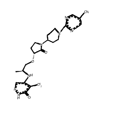 C[C@@H](CO[C@@H]1CCN(C2CCN(c3ncc(C#N)cn3)CC2)C1=O)Nc1cn[nH]c(=O)c1C(F)(F)F